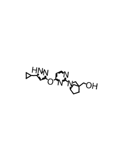 OCC12CCC(C1)N(c1nccc(Oc3cc(C4CC4)[nH]n3)n1)C2